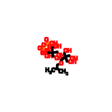 CC(C)COCC(CO)(CO)CO.O=P(O)(O)OP(=O)(O)O.OCC(CO)(CO)CO